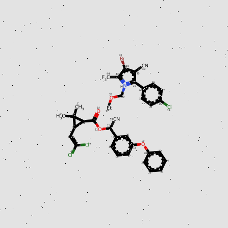 CC1(C)C(C=C(Cl)Cl)C1C(=O)OC(C#N)c1cccc(Oc2ccccc2)c1.CCOCn1c(-c2ccc(Cl)cc2)c(C#N)c(Br)c1C(F)(F)F